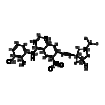 CC(C)N1C[C@@H]2C[C@]2(C#Cc2cc3ncnc(Nc4cccc(Cl)c4F)c3cc2[N+](=O)[O-])C1